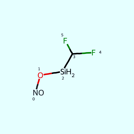 O=NO[SiH2]C(F)F